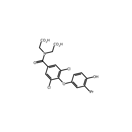 CC(C)c1cc(Oc2c(Cl)cc(C(=O)N(CC(=O)O)CC(=O)O)cc2Cl)ccc1O